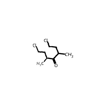 CC(CCCl)C(=O)C(C)CCCl